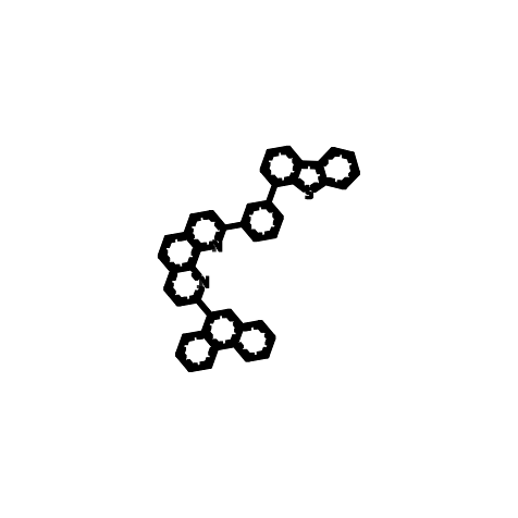 c1cc(-c2ccc3ccc4ccc(-c5cc6ccccc6c6ccccc56)nc4c3n2)cc(-c2cccc3c2sc2ccccc23)c1